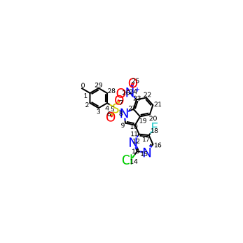 Cc1ccc(S(=O)(=O)n2cc(-c3nc(Cl)ncc3F)c3cccc([N+](=O)[O-])c32)cc1